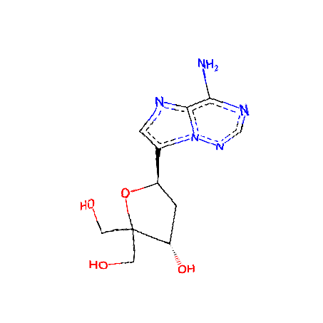 Nc1ncnn2c([C@H]3C[C@H](O)C(CO)(CO)O3)cnc12